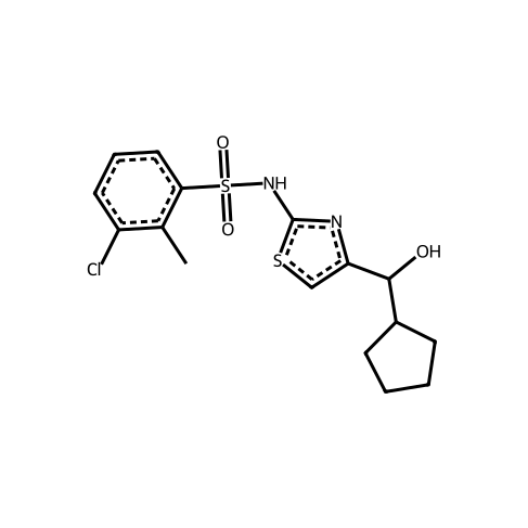 Cc1c(Cl)cccc1S(=O)(=O)Nc1nc(C(O)C2CCCC2)cs1